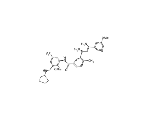 COc1cncc(/C(N)=C/N(N)c2cc(C(=O)Nc3cc(C(F)(F)F)cc(CNC4CCCC4)c3OC)ccc2C)c1